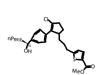 CCCCC[C@H](O)c1ccc(C2=C(Cl)CCC2CCCc2ccc(C(=O)OC)s2)cc1